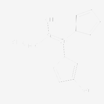 CCCC1=C[CH]([Zr+2]([CH]2C=CC=C2)=[Si](C)C)C=C1.[Cl-].[Cl-]